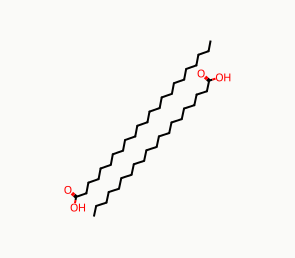 CCCCCCCCCCCCCCCCCCCC(=O)O.CCCCCCCCCCCCCCCCCCCCCCC(=O)O